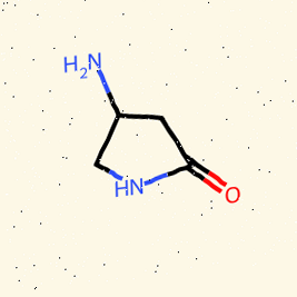 NC1CNC(=O)C1